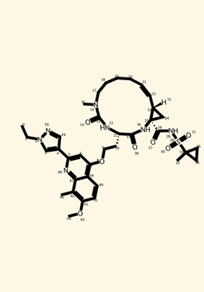 CCn1cc(-c2cc(OCC[C@@H]3NC(=O)N(C)CCCC/C=C\[C@@H]4C[C@@]4(C(=O)NS(=O)(=O)C4(C)CC4)NC3=O)c3ccc(OC)c(C)c3n2)cn1